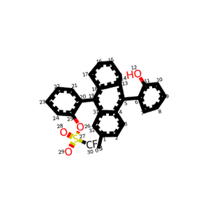 Cc1ccc2c(-c3ccccc3O)c3ccccc3c(-c3ccccc3OS(=O)(=O)C(F)(F)F)c2c1